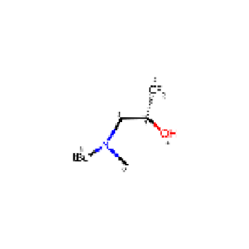 CN(C[C@@H](O)C(F)(F)F)C(C)(C)C